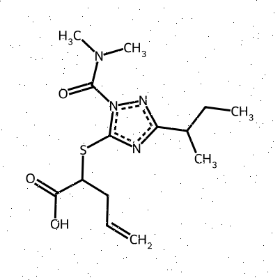 C=CCC(Sc1nc(C(C)CC)nn1C(=O)N(C)C)C(=O)O